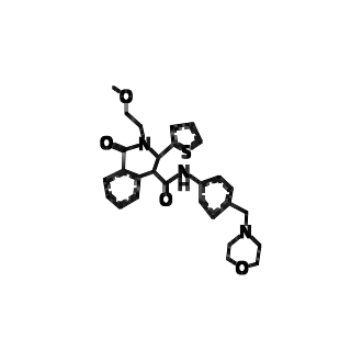 COCCN1C(=O)c2ccccc2C(C(=O)Nc2ccc(CN3CCOCC3)cc2)C1c1cccs1